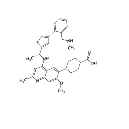 CNCc1ccccc1-c1csc([C@@H](C)Nc2nc(C)nc3cc(OC)c(C4CCC(C(=O)O)CC4)cc23)c1